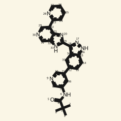 CC(C)(C)C(=O)Nc1cncc(-c2ccc3[nH]nc(-c4nc5c(-c6ccccn6)cncc5[nH]4)c3c2)c1